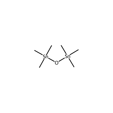 [CH3][Sn]([CH3])([CH3])[O][Sn]([CH3])([CH3])[CH3]